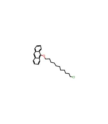 ClCCCCCCCCCCCOc1c2ccccc2cc2ccccc12